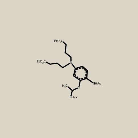 CCCCCCC(C)Oc1cc(N(CCCC(=O)OCC)CCCC(=O)OCC)ccc1NC(C)=O